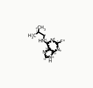 CC(C)CNc1nc(F)nc2[nH]cnc12